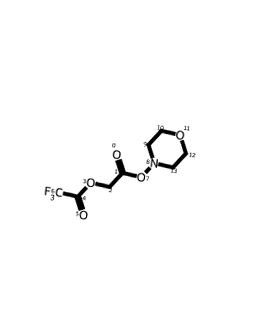 O=C(COC(=O)C(F)(F)F)ON1CCOCC1